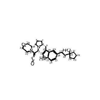 O=C=C(CN1CCC[C@@H]1Cc1c[nH]c2ccc(CCC3(O)CCCC3)cc12)N1CCOCC1